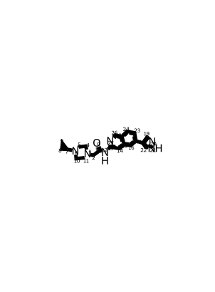 O=C(CN1CCN(C2CC2)CC1)Nc1cc2cc(-c3cn[nH]c3)ccc2cn1